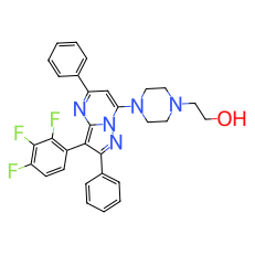 OCCN1CCN(c2cc(-c3ccccc3)nc3c(-c4ccc(F)c(F)c4F)c(-c4ccccc4)nn23)CC1